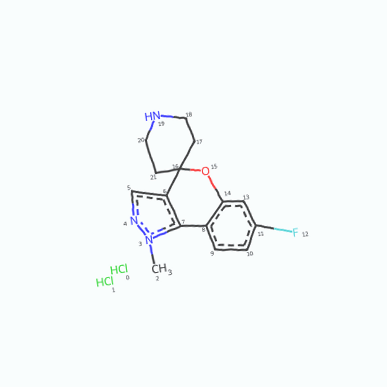 Cl.Cl.Cn1ncc2c1-c1ccc(F)cc1OC21CCNCC1